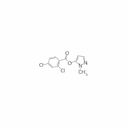 Cn1nccc1OC(=O)c1ccc(Cl)cc1Cl